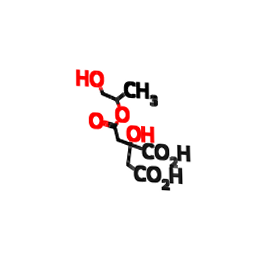 CC(CO)OC(=O)CC(O)(CC(=O)O)C(=O)O